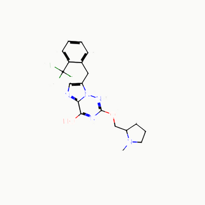 CN1CCCC1COc1nc(O)c2ncc(Cc3ccccc3C(F)(F)F)n2n1